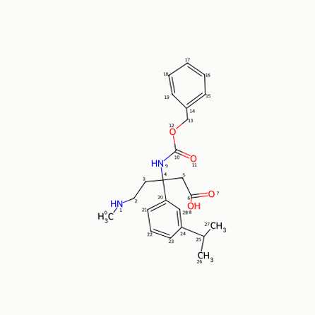 CNCCC(CC(=O)O)(NC(=O)OCc1ccccc1)c1cccc(C(C)C)c1